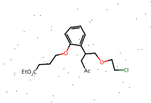 CCOC(=O)CCCOc1ccccc1C(COCCCl)CC(C)=O